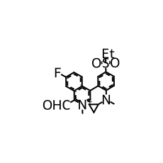 CCS(=O)(=O)c1ccc(N(C)C2CC2)c(-c2c[n+](C)c(C=O)c3cc(F)ccc23)c1